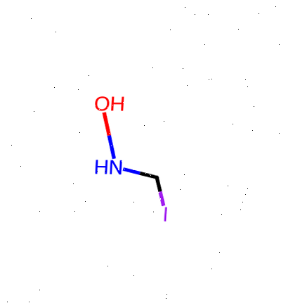 ONCI